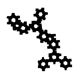 c1ccc(-c2cc(-c3ccccc3)nc(-c3ccc4sc5cc(-c6nc(-c7ccccc7)nc(-c7ccc8oc9ccccc9c8c7)n6)ccc5c4c3)n2)cc1